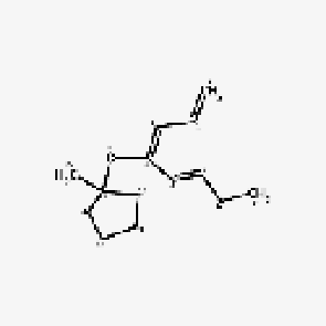 C=C/C=C(\C=CCC)OC1(C)CCCC1